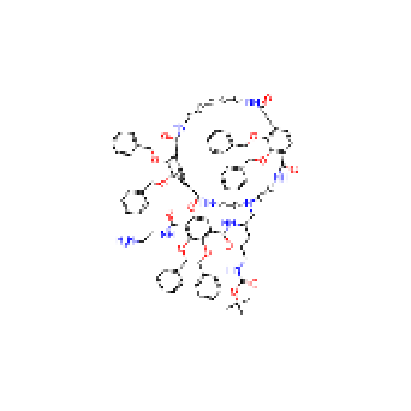 CC(C)(C)OC(=O)NCCCC(CN1CCNC(=O)c2ccc(c(OCc3ccccc3)c2OCc2ccccc2)C(=O)NCCCCCNC(=O)c2ccc(c(OCc3ccccc3)c2OCc2ccccc2)C(=O)NCC1)NC(=O)c1ccc(C(=O)NCCN)c(OCc2ccccc2)c1OCc1ccccc1